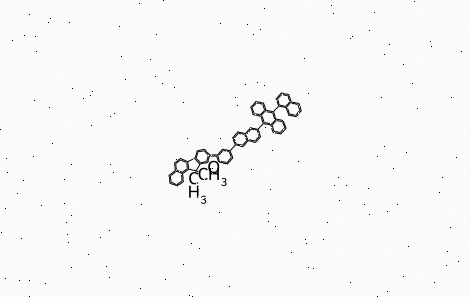 CC1(C)c2c(ccc3ccccc23)-c2ccc3c(oc4ccc(-c5ccc6cc(-c7c8ccccc8c(-c8cccc9ccccc89)c8ccccc78)ccc6c5)cc43)c21